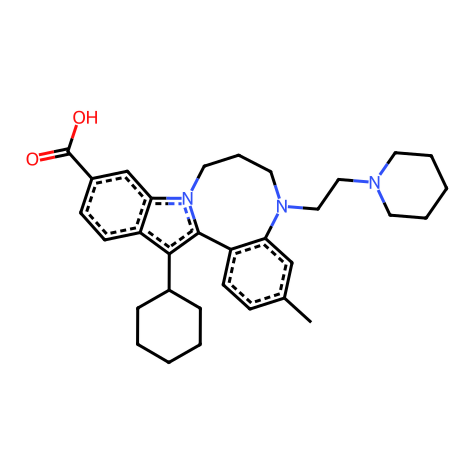 Cc1ccc2c(c1)N(CCN1CCCCC1)CCCn1c-2c(C2CCCCC2)c2ccc(C(=O)O)cc21